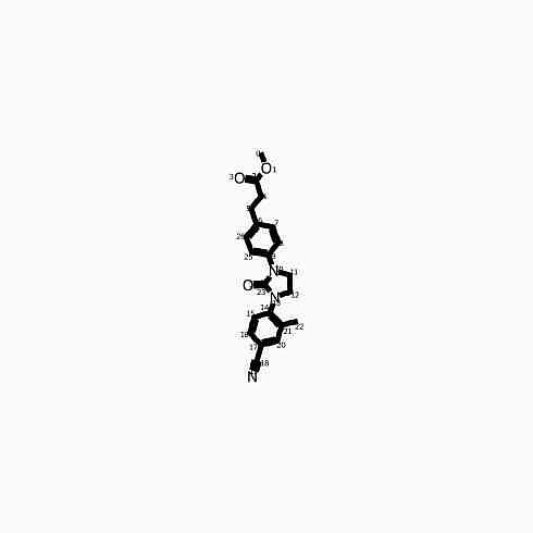 COC(=O)CCc1ccc(N2CCN(c3ccc(C#N)cc3C)C2=O)cc1